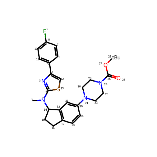 CN(c1nc(-c2ccc(F)cc2)cs1)C1CCc2ccc(N3CCN(C(=O)OC(C)(C)C)CC3)cc21